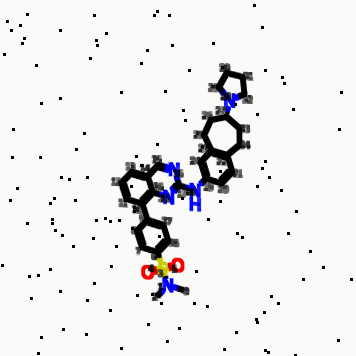 CN(C)S(=O)(=O)c1ccc(-c2cccc3cnc(Nc4ccc5c(c4)CC[C@@H](N4CCCC4)CC5)nc23)cc1